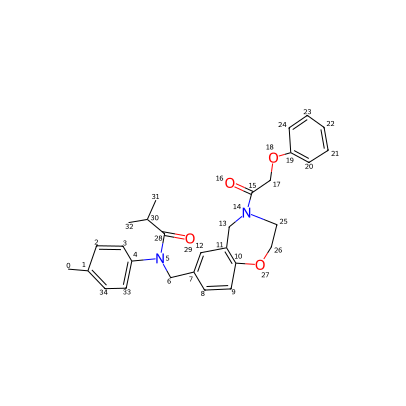 Cc1ccc(N(Cc2ccc3c(c2)CN(C(=O)COc2ccccc2)CCO3)C(=O)C(C)C)cc1